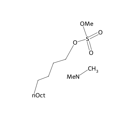 CCCCCCCCCCCCOS(=O)(=O)OC.CNC